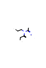 C=C(CC(C)(C)C)N(CCC(C)(C)C)/C(C)=N\C